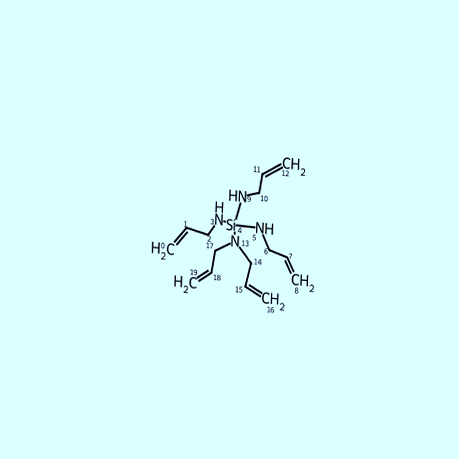 C=CCN[Si](NCC=C)(NCC=C)N(CC=C)CC=C